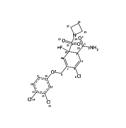 NC(=O)C1C=C(Cl)C(COc2ccc(Cl)c(Cl)c2)=CC1(F)S(=O)(=O)N1CCC1